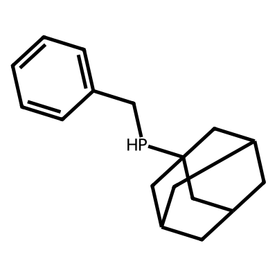 c1ccc(CPC23CC4CC(CC(C4)C2)C3)cc1